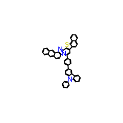 c1ccc(-n2c3ccccc3c3cc(-c4ccc(-c5cc6c7ccc8ccccc8c7sc6c6nc7c8cc9ccccc9cc8ccc7n56)cc4)ccc32)cc1